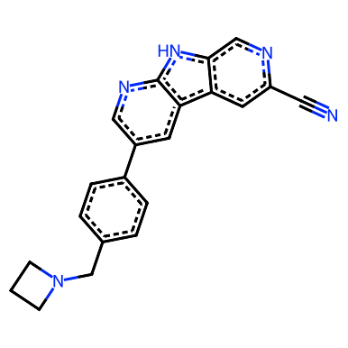 N#Cc1cc2c(cn1)[nH]c1ncc(-c3ccc(CN4CCC4)cc3)cc12